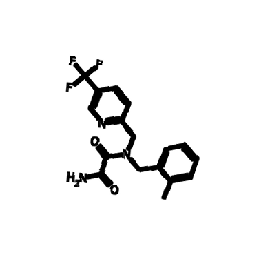 Cc1ccccc1CN(Cc1ccc(C(F)(F)F)cn1)C(=O)C(N)=O